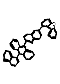 c1ccc2c(-c3c4ccccc4c(-c4ccc5cc(-c6cccc7oc8ccccc8c67)ccc5c4)c4ccccc34)cccc2c1